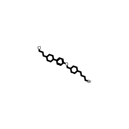 ClCCCC1CCC(c2ccc(OCC3CCC(CCCCBr)CC3)cc2)CC1